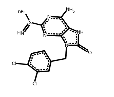 CCCS(=N)c1nc(N)c2[nH]c(=O)n(Cc3ccc(Cl)c(Cl)c3)c2n1